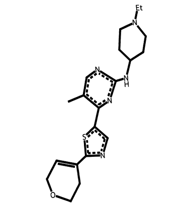 CCN1CCC(Nc2ncc(C)c(-c3cnc(C4=CCOCC4)s3)n2)CC1